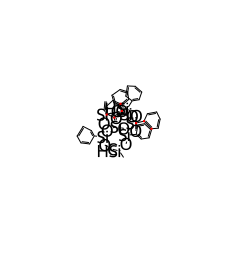 C=C[Si]12O[SiH](c3ccccc3)O[Si]3(c4ccccc4)O[Si]4(c5ccccc5)O[SiH](C)CO[Si](c5ccccc5)(O1)O[Si](c1ccccc1)(O4)O[Si](c1ccccc1)(O2)O3